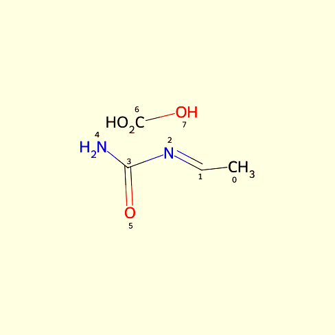 CC=NC(N)=O.O=C(O)O